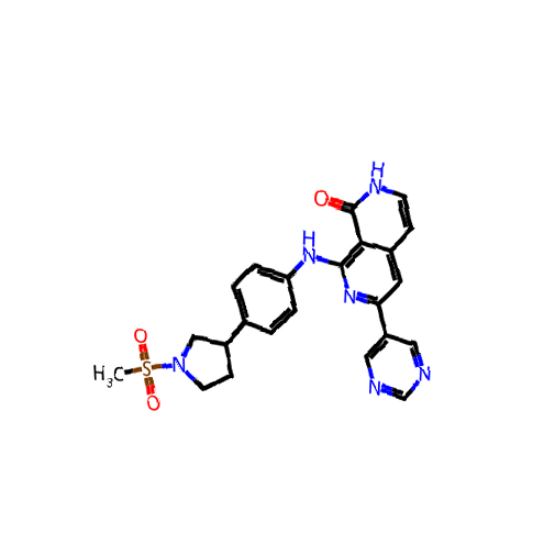 CS(=O)(=O)N1CCC(c2ccc(Nc3nc(-c4cncnc4)cc4cc[nH]c(=O)c34)cc2)C1